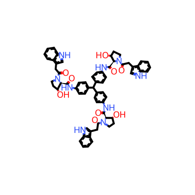 O=C(Nc1ccc(C(c2ccc(NC(=O)[C@H]3C(O)CCN3C(=O)Cc3c[nH]c4ccccc34)cc2)c2ccc(NC(=O)[C@H]3C(O)CCN3C(=O)Cc3c[nH]c4ccccc34)cc2)cc1)[C@H]1C(O)CCN1C(=O)Cc1c[nH]c2ccccc12